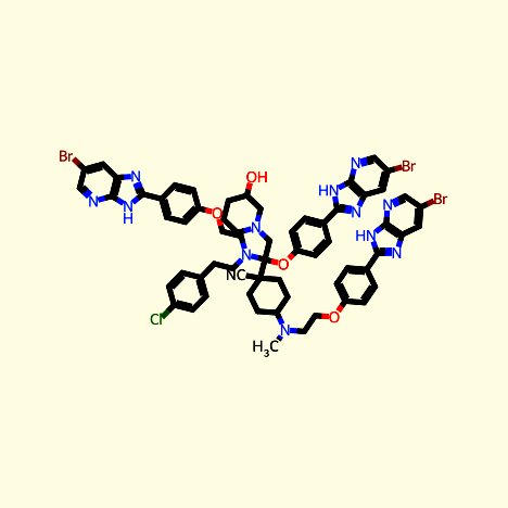 CN(CCOc1ccc(-c2nc3cc(Br)cnc3[nH]2)cc1)C1CCC(C#N)(C(CN2CCCC(O)C2)(Oc2ccc(-c3nc4cc(Br)cnc4[nH]3)cc2)N(CCOc2ccc(-c3nc4cc(Br)cnc4[nH]3)cc2)CCc2ccc(Cl)cc2)CC1